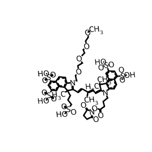 COCCOCCOCCOCC[N+]1=C(/C=C/C(C)=C/C=C2/N(CCCC(=O)ON3C(=O)CCC3=O)c3ccc4c(S(=O)(=O)O)cc(S(=O)(=O)O)cc4c3C2(C)C)C(C)(CCCS(=O)(=O)O)c2c1ccc1c(S(=O)(=O)O)cc(S(=O)(=O)O)cc21